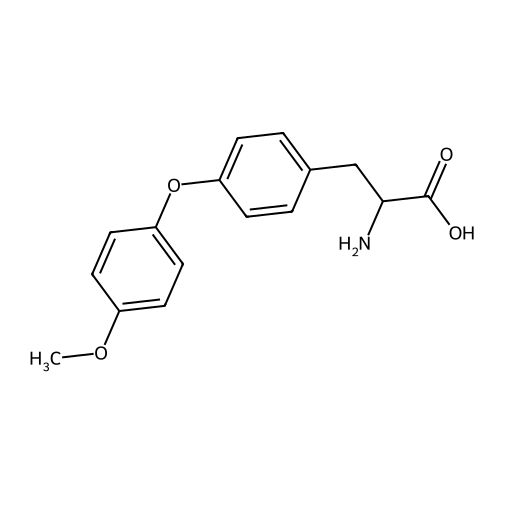 COc1ccc(Oc2ccc(CC(N)C(=O)O)cc2)cc1